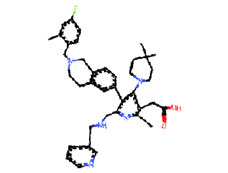 Cc1cc(F)ccc1CN1CCc2cc(-c3c(CNCc4cccnc4)nc(C)c(CC(=O)O)c3N3CCC(C)(C)CC3)ccc2C1